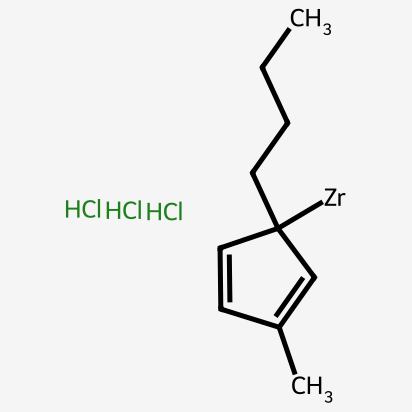 CCCC[C]1([Zr])C=CC(C)=C1.Cl.Cl.Cl